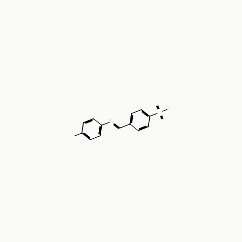 Cc1ccc(N=Cc2ccc(S(N)(=O)=O)cc2)cc1